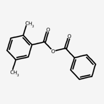 Cc1ccc(C)c(C(=O)OC(=O)c2ccccc2)c1